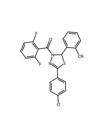 N#Cc1ccccc1C1SC(c2ccc(Cl)cc2)=NN1C(=O)c1c(F)cccc1F